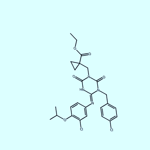 CCOC(=O)C1(Cn2c(=O)[nH]/c(=N\c3ccc(OC(C)C)c(Cl)c3)n(Cc3ccc(Cl)cc3)c2=O)CC1